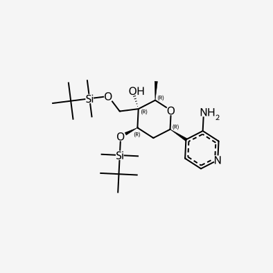 C[C@H]1O[C@@H](c2ccncc2N)C[C@@H](O[Si](C)(C)C(C)(C)C)[C@@]1(O)CO[Si](C)(C)C(C)(C)C